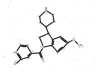 COc1ccc2c(c1)C(C1CCNCC1)CN2C(=O)c1ccnc(Cl)c1